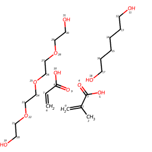 C=C(C)C(=O)O.C=CC(=O)O.OCCCCCCO.OCCOCCOCCOCCO